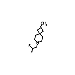 CN1CC2(CCN(CC(F)F)CC2)C1